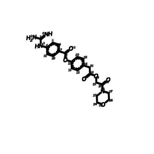 N=C(N)Nc1ccc(C(=O)Oc2ccc(CC(=O)OCC(=O)N3CCOCC3)cc2)cc1